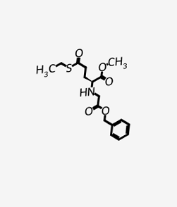 CCSC(=O)CC[C@H](NCC(=O)OCc1ccccc1)C(=O)OC